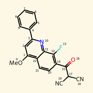 COc1cc(-c2ccccc2)nc2c(F)c(C(=O)C(C#N)C#N)ccc12